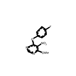 COc1ncnc(Oc2ccc(F)cc2)c1[N+](=O)[O-]